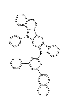 c1ccc(-c2nc(-c3ccc4ccccc4c3)nc(-n3c4ccccc4c4cc5c6ccc7ccccc7c6n(-c6ccccc6)c5cc43)n2)cc1